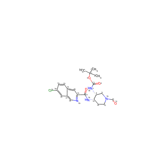 CC(C)(C)OC(=O)N[C@@H]1CN(C=O)CC[C@@H]1NC(=O)c1cc2ccc(Cl)cc2cn1